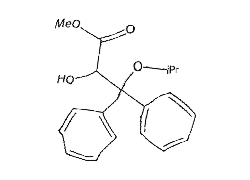 COC(=O)C(O)C(OC(C)C)(c1ccccc1)c1ccccc1